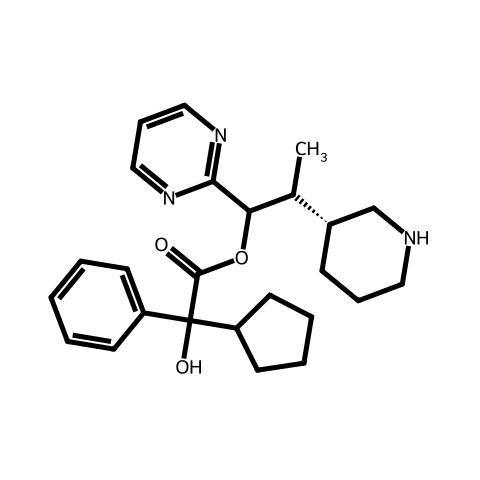 CC(C(OC(=O)C(O)(c1ccccc1)C1CCCC1)c1ncccn1)[C@H]1CCCNC1